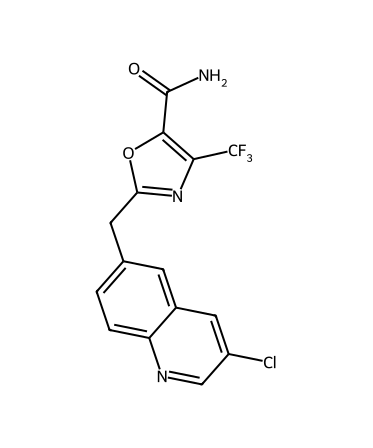 NC(=O)c1oc(Cc2ccc3ncc(Cl)cc3c2)nc1C(F)(F)F